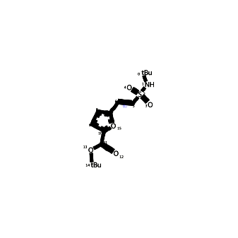 CC(C)(C)NS(=O)(=O)/C=C/c1ccc(C(=O)OC(C)(C)C)o1